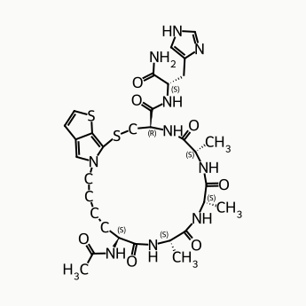 CC(=O)N[C@H]1CCCCn2cc3ccsc3c2SC[C@@H](C(=O)N[C@@H](Cc2c[nH]cn2)C(N)=O)NC(=O)[C@H](C)NC(=O)[C@H](C)NC(=O)[C@H](C)NC1=O